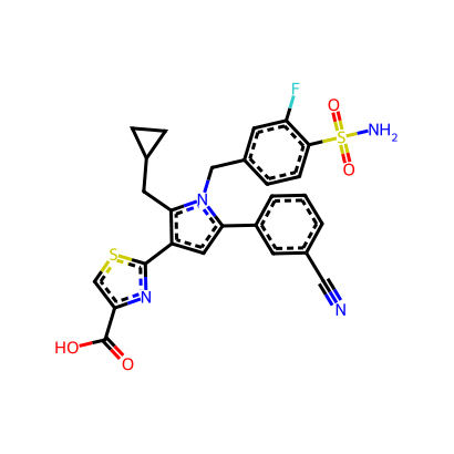 N#Cc1cccc(-c2cc(-c3nc(C(=O)O)cs3)c(CC3CC3)n2Cc2ccc(S(N)(=O)=O)c(F)c2)c1